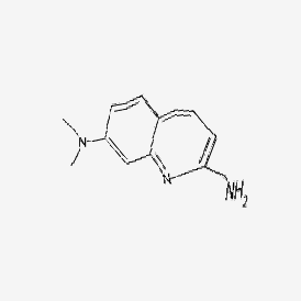 CN(C)c1ccc2ccc(N)nc2c1